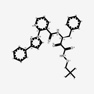 CC(C)(C)CONC(=O)C(=O)[C@H](Cc1ccccc1)NC(=O)c1cccnc1-n1ccc(-c2ccccc2)n1